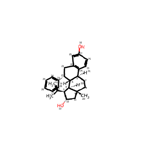 C=C(C)[C@H]1[C@H]2[C@H]3[C@H](CC[C@]2(C)C[C@@H]1O)c1ccc(O)cc1C[C@H]3c1ccccc1